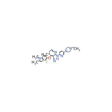 CCN1CCN(c2ccc(NC3=N/C=C/CC(C)/C(Oc4ccc5c(cc(C)n5C)c4F)=C\3C#N)nc2)CC1